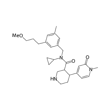 COCCCc1cc(C)cc(CN(C(=O)C2CNCCC2c2ccn(C)c(=O)c2)C2CC2)c1